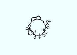 CC(C)[C@@H]1NC(=O)C([C@H](C)O)/C=C/c2ccc3ccc(cc3c2)[C@@H](C)OC(=O)[C@@H]2CCCN(N2)C(=O)[C@@H](C)NC1=O